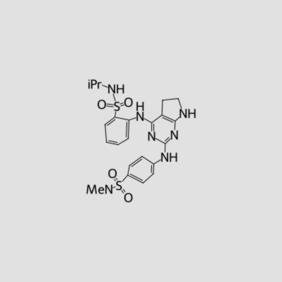 CNS(=O)(=O)c1ccc(Nc2nc3c(c(Nc4ccccc4S(=O)(=O)NC(C)C)n2)CCN3)cc1